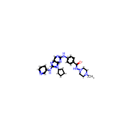 CN1CCN(NC(=O)c2ccc(Nc3ncc4nc(Nc5cccnc5)n(C5CCCC5)c4n3)cc2)CC1